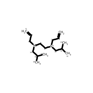 C=CCN(CCN(CC=C)CC(C)C)CC(C)C